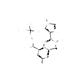 Cc1cc([C@@H](C)N[S@+]([O-])C(C)(C)C)c2nc(-c3cn(C)cn3)n(C)c(=O)c2c1